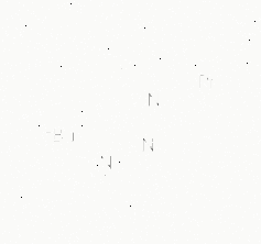 CC(C)N(C)/N=N\C(C)(C)C